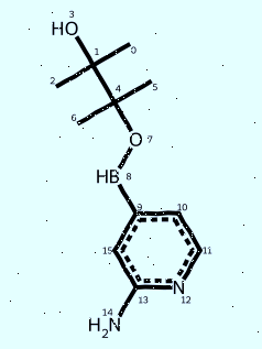 CC(C)(O)C(C)(C)OBc1ccnc(N)c1